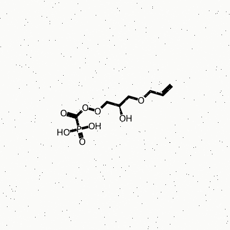 C=CCOC[C@@H](O)COOC(=O)P(=O)(O)O